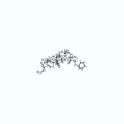 COC(=O)C1=CC[C@]2(C)[C@H]3C(=O)C=C4[C@@H]5C[C@@](C)(C(=O)OCc6ccccc6)CC[C@]5(C)CC[C@@]4(C)[C@]3(C)CC[C@H]2C1(C)C